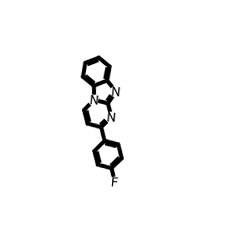 Fc1ccc(-c2ccn3c(n2)nc2ccccc23)cc1